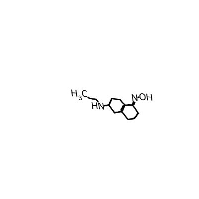 CCCNC1CCC2=C(CCCC2=NO)C1